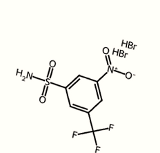 Br.Br.NS(=O)(=O)c1cc([N+](=O)[O-])cc(C(F)(F)F)c1